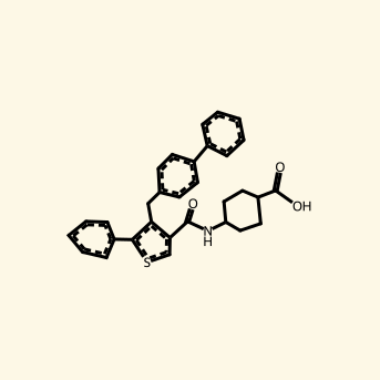 O=C(NC1CCC(C(=O)O)CC1)c1csc(-c2ccccc2)c1Cc1ccc(-c2ccccc2)cc1